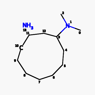 CN(C)C1CCCCCCCCC1.N